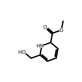 COC(=O)C1C=CC=C(CO)N1